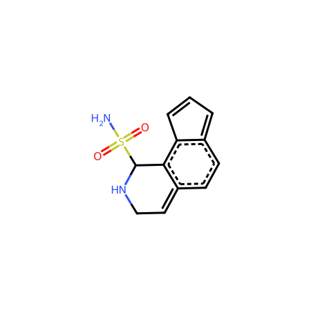 NS(=O)(=O)C1NCC=c2ccc3c(c21)C=CC=3